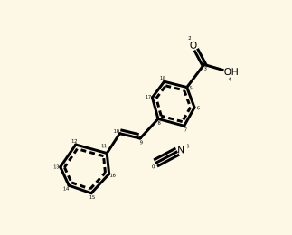 C#N.O=C(O)c1ccc(C=Cc2ccccc2)cc1